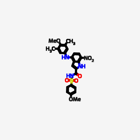 COc1ccc(S(=O)(=O)NC(=O)c2cc3c(Nc4cc(C)c(OC)c(C)c4)ccc([N+](=O)[O-])c3[nH]2)cc1